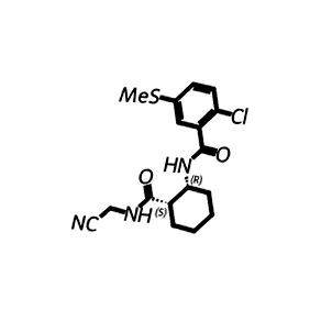 CSc1ccc(Cl)c(C(=O)N[C@@H]2CCCC[C@@H]2C(=O)NCC#N)c1